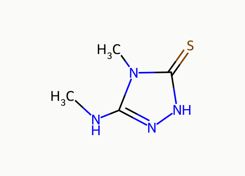 CNc1n[nH]c(=S)n1C